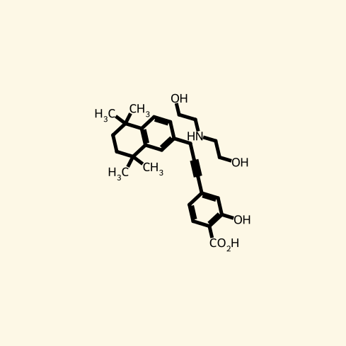 CC1(C)CCC(C)(C)c2cc(CC#Cc3ccc(C(=O)O)c(O)c3)ccc21.OCCNCCO